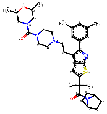 Cc1cc(C)cc(-c2[nH]c3sc(C(C)(C)C(=O)N4C5CCC4CC5)cc3c2CCN2CCN(C(=O)N3CC(C)OC(C)C3)CC2)c1